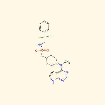 CN(c1ncnc2[nH]ccc12)C1CCC(CS(=O)(=O)NCC(F)(F)c2ccccc2)CC1